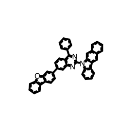 c1ccc(-c2nc(-n3c4ccccc4c4cc5ccccc5cc43)nc3cc(-c4ccc5c(c4)oc4ccccc45)ccc23)cc1